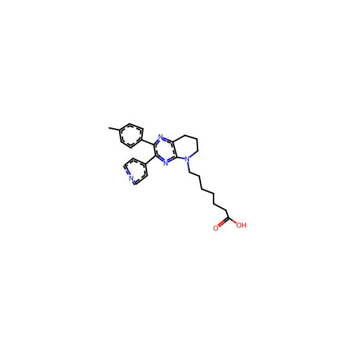 Cc1ccc(-c2nc3c(nc2-c2ccncc2)N(CCCCCCC(=O)O)CCC3)cc1